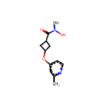 Cc1cc(OC2CC(C(=O)N(O)C(C)(C)C)C2)ccn1